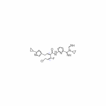 N=CN(C(=N)c1cccc(NC(=O)C(=C/Cc2ccc(C3CC3)nc2)/C(F)=C\CCl)n1)C1CC1